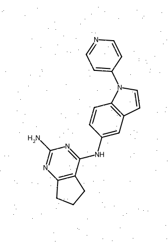 Nc1nc2c(c(Nc3ccc4c(ccn4-c4ccncc4)c3)n1)CCC2